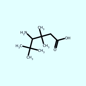 CC(C)(C)C(N)C(C)(C)CC(=O)O